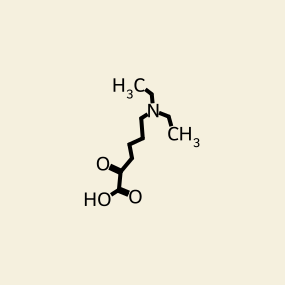 CCN(CC)CCCCC(=O)C(=O)O